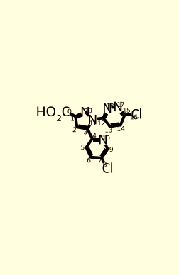 O=C(O)c1cc(-c2ccc(Cl)cn2)n(-c2ccc(Cl)nn2)n1